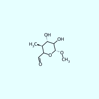 CO[C@@H]1OC(C=O)[C@@H](C)[C@H](O)C1O